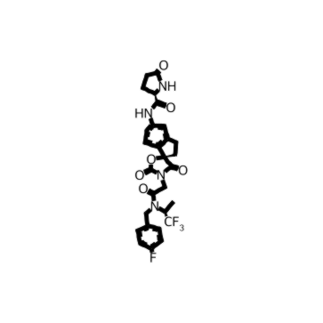 C[C@H](N(Cc1ccc(F)cc1)C(=O)CN1C(=O)O[C@@]2(CCc3cc(NC(=O)[C@H]4CCC(=O)N4)ccc32)C1=O)C(F)(F)F